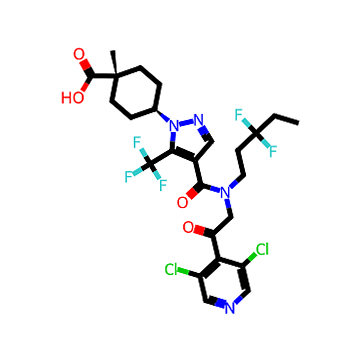 CCC(F)(F)CCN(CC(=O)c1c(Cl)cncc1Cl)C(=O)c1cnn([C@H]2CC[C@](C)(C(=O)O)CC2)c1C(F)(F)F